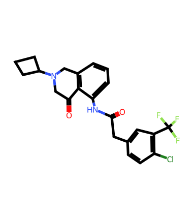 O=C(Cc1ccc(Cl)c(C(F)(F)F)c1)Nc1cccc2c1C(=O)CN(C1CCC1)C2